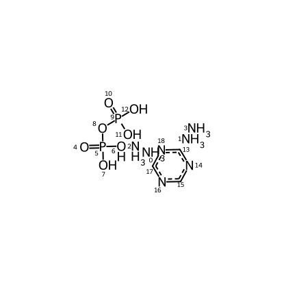 N.N.N.N.O=P(O)(O)OP(=O)(O)O.c1ncncn1